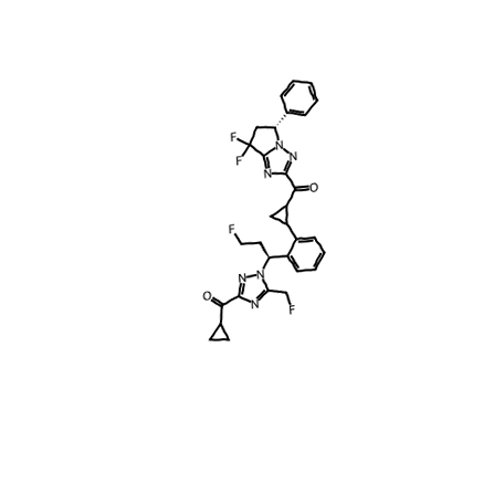 O=C(c1nc(CF)n([C@@H](CCF)c2ccccc2C2CC2C(=O)c2nc3n(n2)[C@@H](c2ccccc2)CC3(F)F)n1)C1CC1